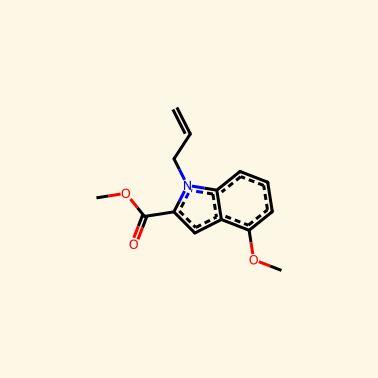 C=CCn1c(C(=O)OC)cc2c(OC)cccc21